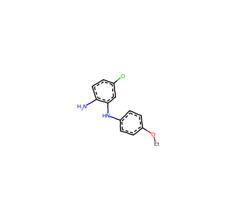 CCOc1ccc(Nc2cc(Cl)ccc2N)cc1